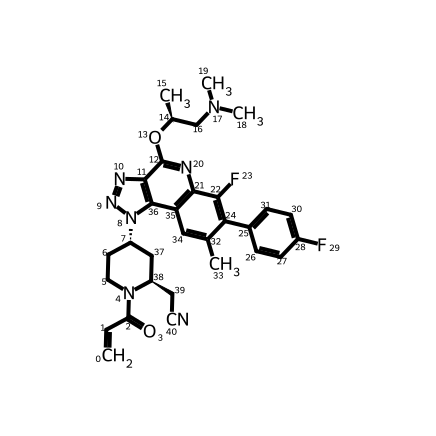 C=CC(=O)N1CC[C@H](n2nnc3c(O[C@@H](C)CN(C)C)nc4c(F)c(-c5ccc(F)cc5)c(C)cc4c32)C[C@H]1CC#N